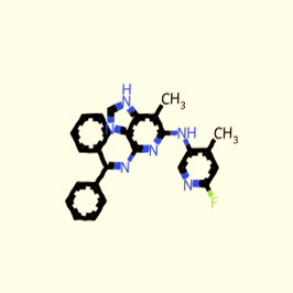 Cc1cc(F)ncc1Nc1nc(N=C(c2ccccc2)c2ccccc2)c2nc[nH]c2c1C